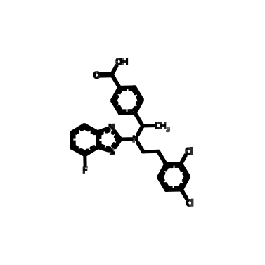 CC(c1ccc(C(=O)O)cc1)N(CCc1ccc(Cl)cc1Cl)c1nc2cccc(F)c2s1